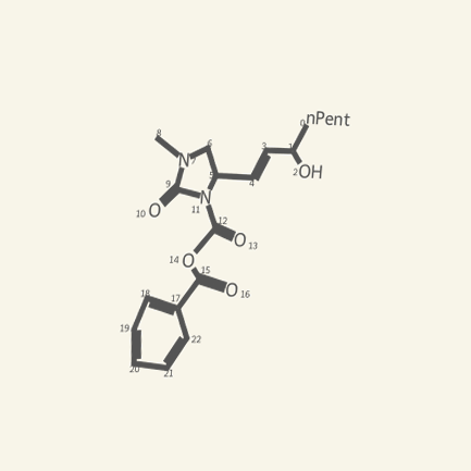 CCCCCC(O)C=CC1CN(C)C(=O)N1C(=O)OC(=O)c1ccccc1